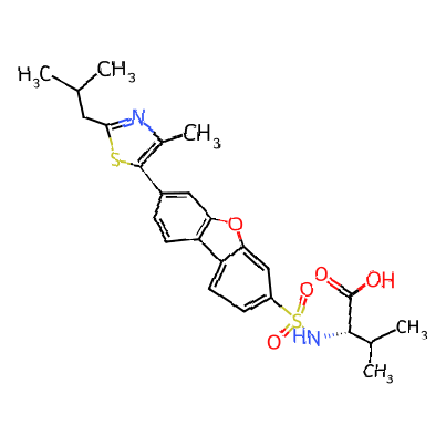 Cc1nc(CC(C)C)sc1-c1ccc2c(c1)oc1cc(S(=O)(=O)N[C@H](C(=O)O)C(C)C)ccc12